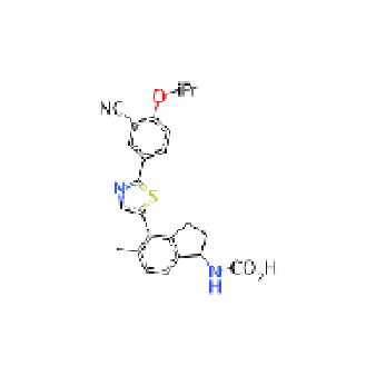 Cc1ccc2c(c1-c1cnc(-c3ccc(OC(C)C)c(C#N)c3)s1)CCC2NC(=O)O